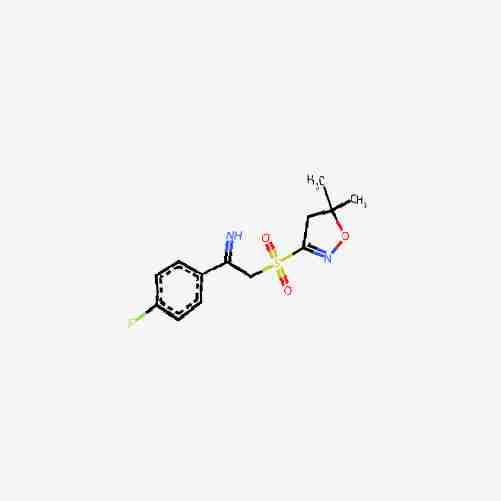 CC1(C)CC(S(=O)(=O)CC(=N)c2ccc(F)cc2)=NO1